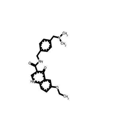 CCOc1ccc2[nH]cc(C(=O)NCc3ccc(CN(C)C)cc3)c(=O)c2c1